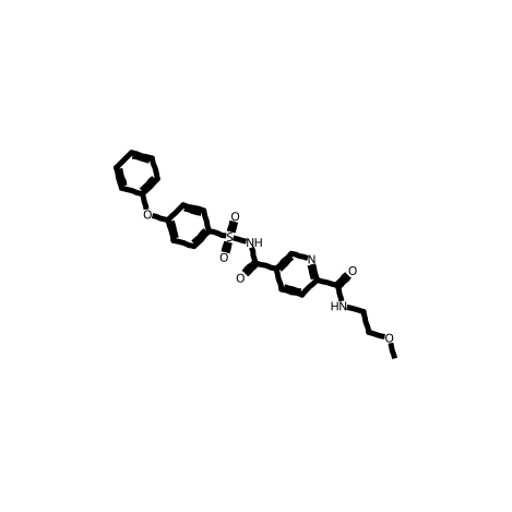 COCCNC(=O)c1ccc(C(=O)NS(=O)(=O)c2ccc(Oc3ccccc3)cc2)cn1